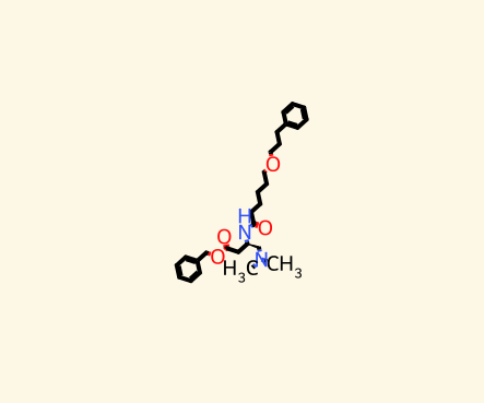 CN(C)C[C@@H](CC(=O)OCc1ccccc1)NC(=O)CCCCCOCCCc1ccccc1